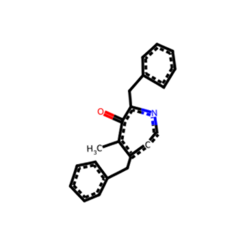 Cc1c(Cc2ccccc2)ccnc(Cc2ccccc2)c1=O